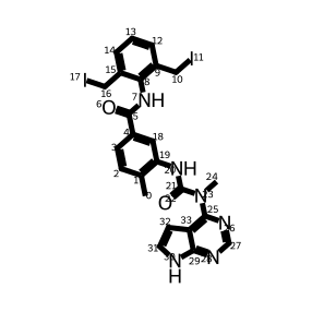 Cc1ccc(C(=O)Nc2c(CI)cccc2CI)cc1NC(=O)N(C)c1ncnc2[nH]ccc12